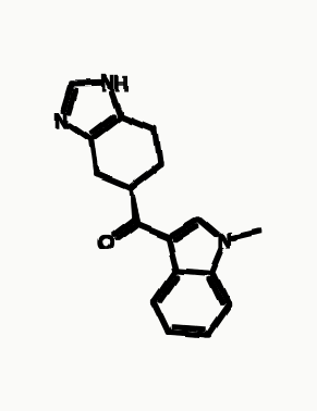 Cn1cc(C(=O)[C@@H]2CCc3[nH]cnc3C2)c2ccccc21